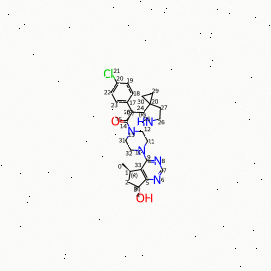 C[C@@H]1C[C@@H](O)c2ncnc(N3CCN(C(=O)[C@@H](c4ccc(Cl)cc4)[C@H]4NCCC45CC5)CC3)c21